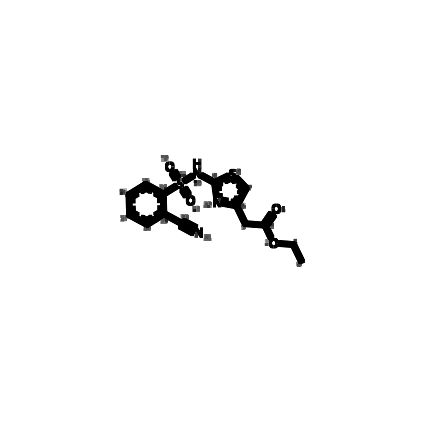 CCOC(=O)Cc1csc(NS(=O)(=O)c2ccccc2C#N)n1